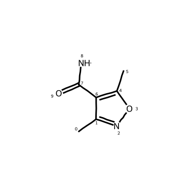 Cc1noc(C)c1C([NH])=O